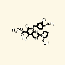 COC(=O)c1c(C)c2cnc(N3CCC[C@H]3CO)nc2n(Cc2ccc(OC)c(Cl)c2)c1=O